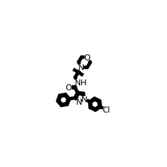 CC(C)(CNC(=O)c1cn(-c2ccc(Cl)cc2)nc1-c1ccccc1)N1CCOCC1